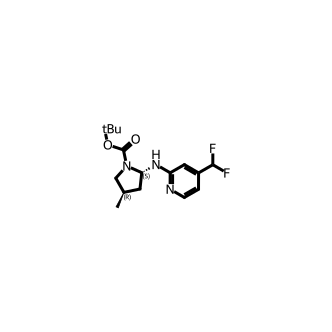 C[C@@H]1C[C@@H](Nc2cc(C(F)F)ccn2)N(C(=O)OC(C)(C)C)C1